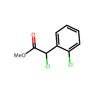 COC(=O)C(Cl)c1ccccc1Cl